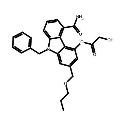 CCCOCc1cc(OC(=O)CO)c2c3c(C(N)=O)cccc3n(Cc3ccccc3)c2c1